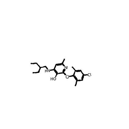 CCC(CC)CNc1cc(C)nc(Oc2c(C)cc(Cl)cc2C)c1O